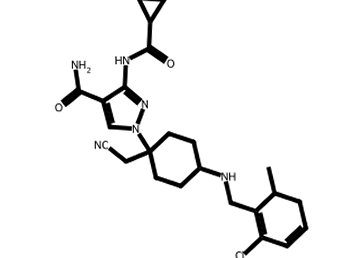 CC1CC=CC(Cl)=C1CNC1CCC(CC#N)(n2cc(C(N)=O)c(NC(=O)C3CC3)n2)CC1